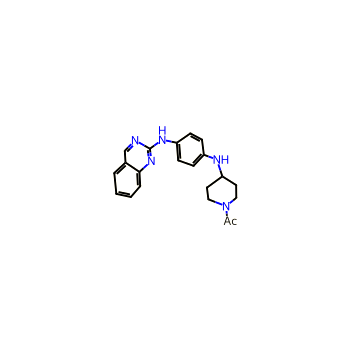 CC(=O)N1CCC(Nc2ccc(Nc3ncc4ccccc4n3)cc2)CC1